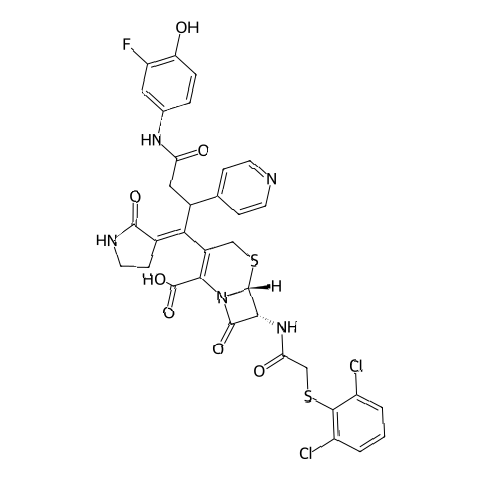 O=C(CC(C(=C1CCNC1=O)C1=C(C(=O)O)N2C(=O)[C@@H](NC(=O)CSc3c(Cl)cccc3Cl)[C@H]2SC1)c1ccncc1)Nc1ccc(O)c(F)c1